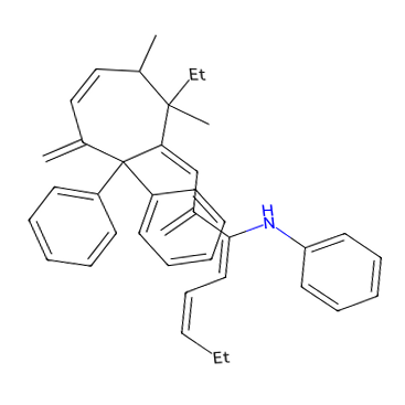 C=C(/C=C1\C(c2ccccc2)(c2ccccc2)C(=C)C=CC(C)C1(C)CC)/C(=C\C=C/CC)Nc1ccccc1